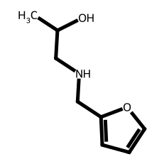 CC(O)CNCc1ccco1